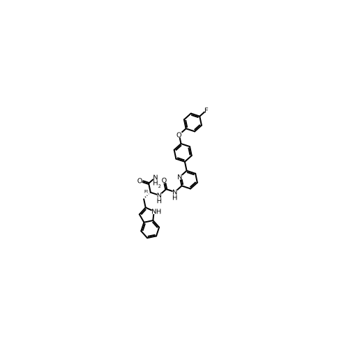 NC(=O)[C@@H](Cc1cc2ccccc2[nH]1)NC(=O)Nc1cccc(-c2ccc(Oc3ccc(F)cc3)cc2)n1